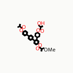 C=C(C)C(=O)Oc1ccc(-c2ccc(-c3ccc(OC(=O)C(=C)COC)cc3C3CCC(OC(=O)C(=C)CO)CC3)cc2)cc1